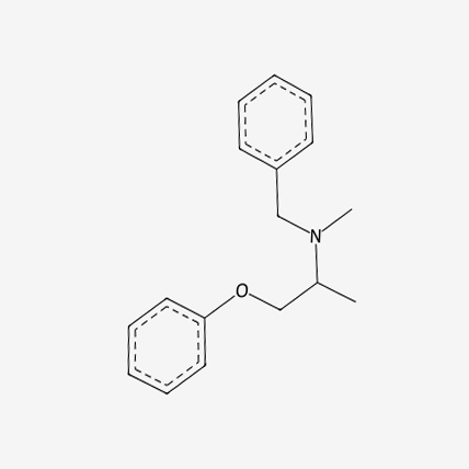 CC(COc1ccccc1)N(C)Cc1ccccc1